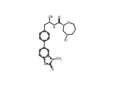 CCN1CCCO[C@H](C(=O)N[C@H](C#N)Cc2ccc(-c3ccc4oc(=O)n(C)c4c3)cc2)C1